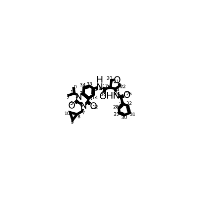 CC(C)n1c(=O)n(CC2CC2)c(=O)c2cc(NC(=O)C3COCC3NC(=O)c3ccccc3)ccc21